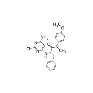 COc1ccc(N(C)C(=O)[C@H](Cc2ccccc2)Nc2nc(N)nc(Cl)n2)cc1